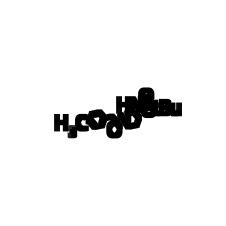 Cc1ccc(CC(=O)N2CCCC(NC(=O)OC(C)(C)C)C2)cc1